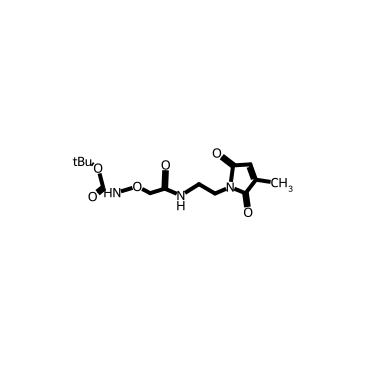 CC1=CC(=O)N(CCNC(=O)CONC(=O)OC(C)(C)C)C1=O